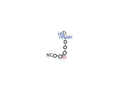 N#Cc1ccc(-c2ccc3oc4ccc(-c5ccc(-c6ccc(C(=N)NC7C=CC=CN7)cc6)cc5)cc4c3c2)cc1